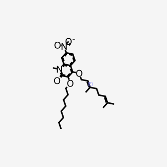 CCCCCCCCOc1c(OC/C=C(\C)CCC=C(C)C)c2ccc([N+](=O)[O-])cc2n(C)c1=O